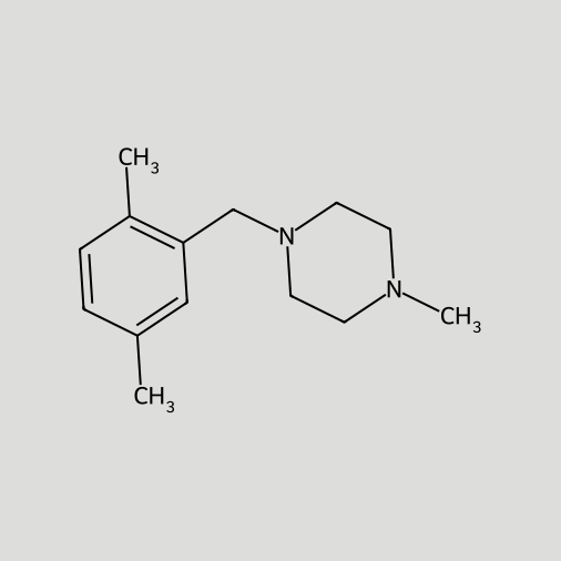 Cc1ccc(C)c(CN2CCN(C)CC2)c1